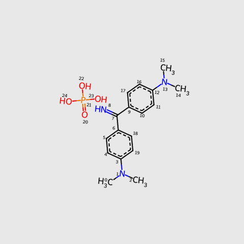 CN(C)c1ccc(C(=N)c2ccc(N(C)C)cc2)cc1.O=P(O)(O)O